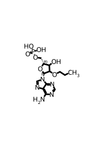 CCCOC1C(O)[C@@H](COP(=O)(O)O)O[C@H]1n1cnc2c(N)ncnc21